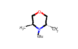 C[C@H]1COC[C@H](C)N1C(C)(C)C